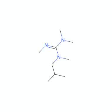 CN=C(N(C)C)N(C)CC(C)C